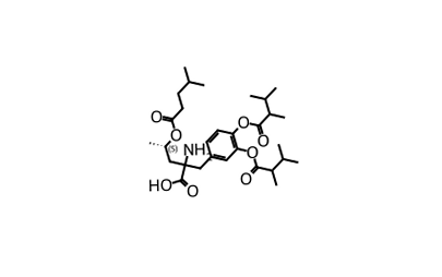 CC(C)CCC(=O)O[C@@H](C)CC(N)(Cc1ccc(OC(=O)C(C)C(C)C)c(OC(=O)C(C)C(C)C)c1)C(=O)O